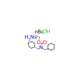 CCCC[C@@H](N)COC(=O)N(Cc1ccccc1)Cc1ccccc1.Cl